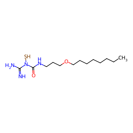 CCCCCCCCOCCCNC(=O)N(S)C(=N)N